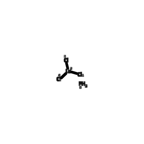 P.[Cl][Lu]([Cl])[Cl]